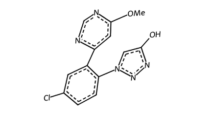 COc1cc(-c2cc(Cl)ccc2-n2cc(O)nn2)ncn1